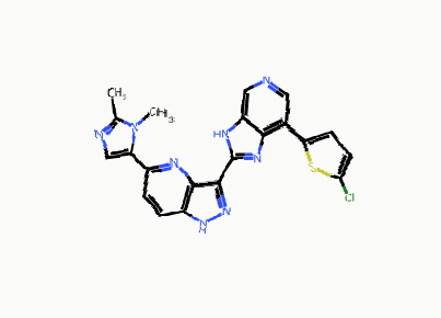 Cc1ncc(-c2ccc3[nH]nc(-c4nc5c(-c6ccc(Cl)s6)cncc5[nH]4)c3n2)n1C